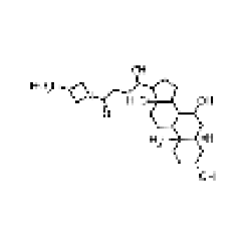 CC(CCC(=O)N1CC(C(=O)O)C1)C1CCC2C3C(CC[C@]12C)[C@@]1(C)CC[C@@H](O)C[C@H]1C[C@@H]3O